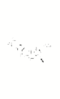 C#Cc1cc(OC)nc2nc(Nc3cccc(CN(C)C4CCC4)c3)ncc12